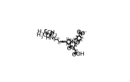 CC(C)(C)OC(=O)NCCCCC#Cc1ccc2c(c1)C(=O)N(CCC(=O)O)CC(=O)N2Cc1cccc([N+](=O)[O-])c1